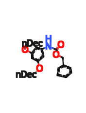 CCCCCCCCCCOc1cc(NC(=O)OCc2ccccc2)cc(OCCCCCCCCCC)c1